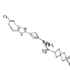 O=C(NC12CC(c3nc4cc(Cl)ccc4o3)(C1)C2)C1CC2(C1)CS(=O)(=O)C2